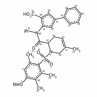 COc1cc(C)c(S(=O)(=O)N2CC(C)=CCC2C(=O)N(c2cc(-c3ccccc3)sc2C(=O)O)C(C)C)c(C)c1C